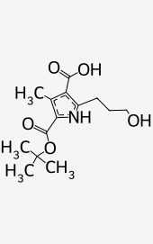 Cc1c(C(=O)OC(C)(C)C)[nH]c(CCCO)c1C(=O)O